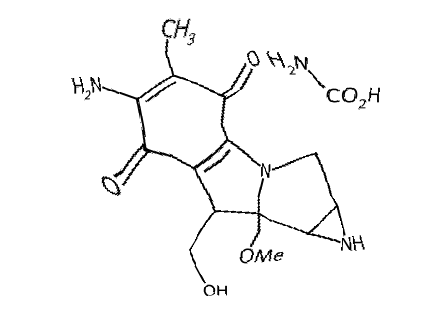 COC12C(CO)C3=C(C(=O)C(C)=C(N)C3=O)N1CC1NC12.NC(=O)O